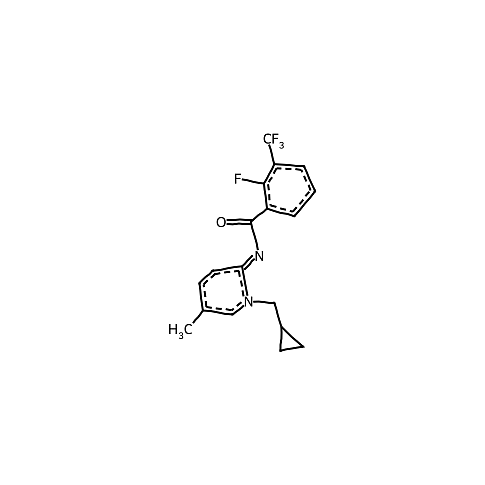 Cc1cc/c(=N\C(=O)c2cccc(C(F)(F)F)c2F)n(CC2CC2)c1